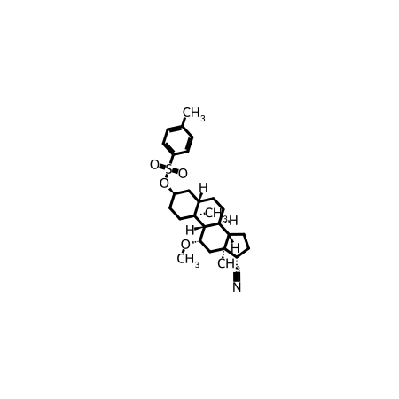 CO[C@H]1C[C@]2(C)[C@@H](C#N)CC[C@H]2[C@@H]2CC[C@H]3C[C@H](OS(=O)(=O)c4ccc(C)cc4)CC[C@]3(C)[C@H]21